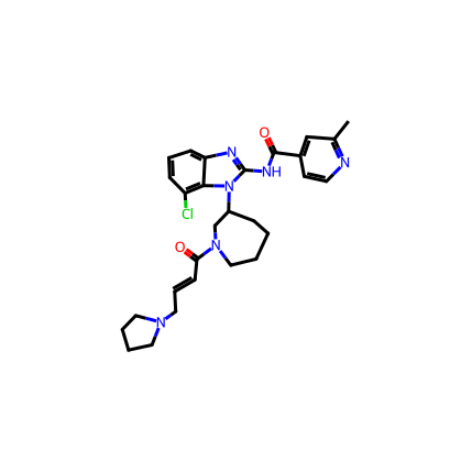 Cc1cc(C(=O)Nc2nc3cccc(Cl)c3n2C2CCCCN(C(=O)/C=C/CN3CCCC3)C2)ccn1